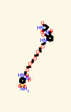 NS(=O)(=O)c1ccc(NCCOCCOCCOCCOCCOCCNc2cccc3c2C(=O)N(C2CCC(=O)NC2=O)C3=O)c([N+](=O)[O-])c1